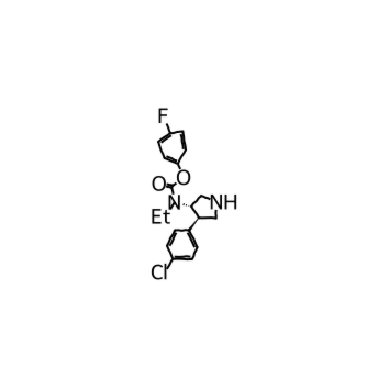 CCN(C(=O)Oc1ccc(F)cc1)[C@@H]1CNC[C@H]1c1ccc(Cl)cc1